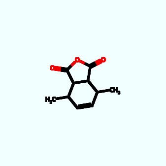 CC1C=CC(C)C2C(=O)OC(=O)C12